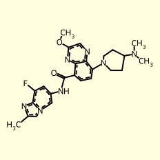 COc1cnc2c(N3CCC(N(C)C)CC3)ccc(C(=O)Nc3cc(F)c4nc(C)cn4c3)c2n1